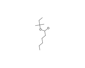 CCCCCC([O])OC(C)(C)CC